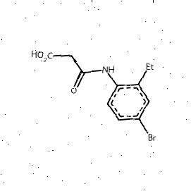 CCc1cc(Br)ccc1NC(=O)CC(=O)O